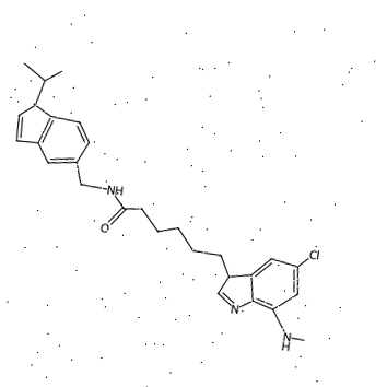 CNc1cc(Cl)cc2c1N=CC2CCCCCC(=O)NCc1ccc2c(c1)C=CC2C(C)C